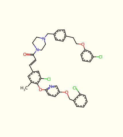 Cc1cc(C=CC(=O)N2CCN(Cc3ccc(CCOc4cccc(Cl)c4)cc3)CC2)cc(Cl)c1Oc1ccc(OCc2ccccc2Cl)cn1